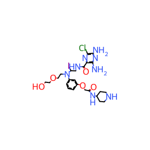 Nc1nc(N)c(C(=O)NCC(I)N(CCOCCO)c2cccc(OCC(=O)NC3CCNCC3)c2)nc1Cl